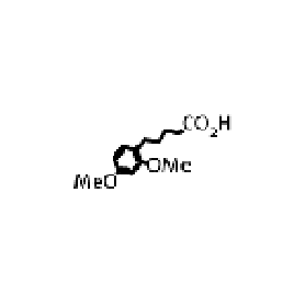 COc1ccc(CCCCC(=O)O)c(OC)c1